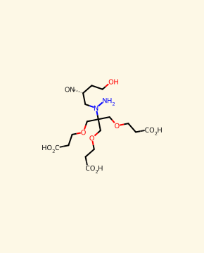 NN(C[C@@H](CCO)N=O)C(COCCC(=O)O)(COCCC(=O)O)COCCC(=O)O